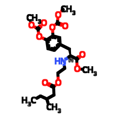 CCC(C)CC(=O)OCCN[C@@H](Cc1ccc(OC(=O)OC)c(OC(=O)OC)c1)C(=O)OC